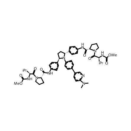 COC(=O)N[C@H](C(=O)N1CCC[C@H]1C(=O)Nc1ccc([C@H]2CC[C@H](c3ccc(NC(=O)[C@@H]4CCCN4C(=O)[C@@H](NC(=O)OC)C(C)C)cc3)N2c2ccc(-c3ccc(N(C)C)nc3)cc2)cc1)C(C)C